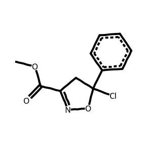 COC(=O)C1=NOC(Cl)(c2ccccc2)C1